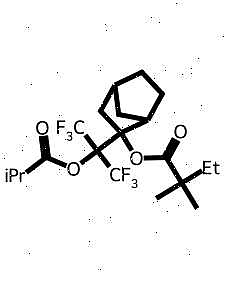 CCC(C)(C)C(=O)OC1(C(OC(=O)C(C)C)(C(F)(F)F)C(F)(F)F)CC2CCC1C2